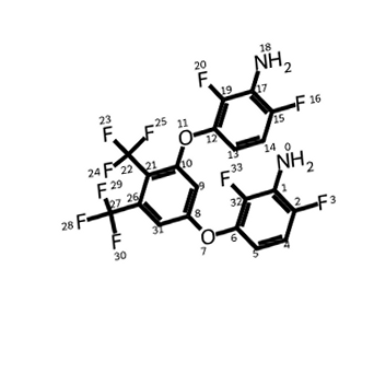 Nc1c(F)ccc(Oc2cc(Oc3ccc(F)c(N)c3F)c(C(F)(F)F)c(C(F)(F)F)c2)c1F